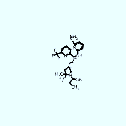 CCC(=N)N1C[C@@H](CC[C@@H](Nc2cccc(SN)n2)c2cccc(C(F)(F)F)n2)CC1(C)C